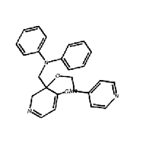 COC1=CC=NCC1(CN(c1ccccc1)c1ccccc1)OCCc1ccncc1